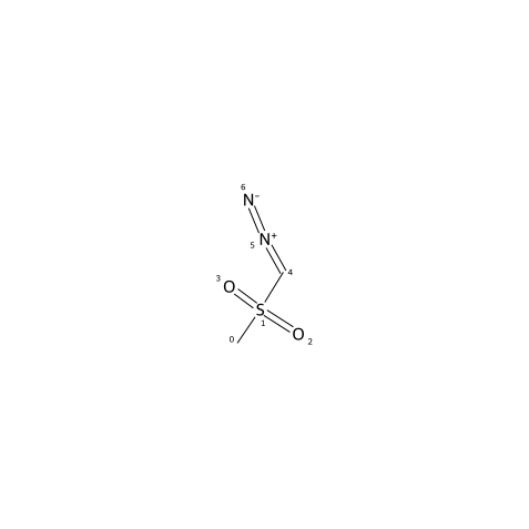 CS(=O)(=O)C=[N+]=[N-]